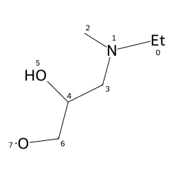 CCN(C)CC(O)C[O]